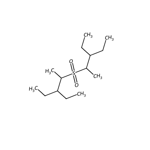 CCC(CC)C(C)S(=O)(=O)C(C)C(CC)CC